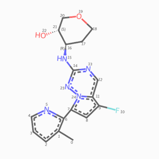 Cc1cccnc1-c1cc(F)c2cnc(N[C@@H]3CCOC[C@H]3O)nn12